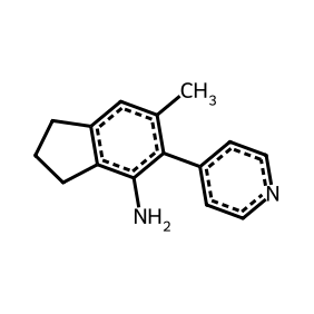 Cc1cc2c(c(N)c1-c1ccncc1)CCC2